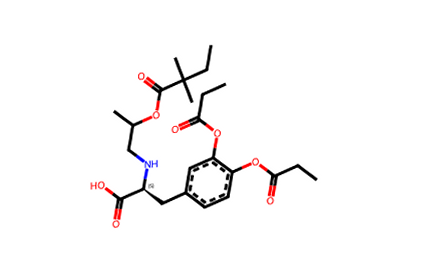 CCC(=O)Oc1ccc(C[C@H](NCC(C)OC(=O)C(C)(C)CC)C(=O)O)cc1OC(=O)CC